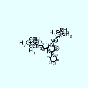 CC(C)(C)[Si](C)(C)OC/C=C/C1=CN(COCC[Si](C)(C)C)C2OC2C(N2CCCCC2)=N1